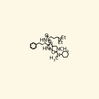 CCN(CC)CCCS(=O)(=O)N[C@H](CCc1ccccc1)c1nc(CN(C)C(=O)N(C)C2CCCCC2)n[nH]1